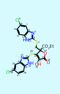 CCOC(=O)C1(CSc2nc3cc(Cl)ccc3[nH]2)OC(=O)C(O)=C1Sc1nc2cc(Cl)ccc2[nH]1